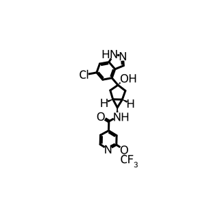 O=C(N[C@H]1[C@@H]2C[C@@](O)(c3cc(Cl)cc4[nH]ncc34)C[C@@H]21)c1ccnc(OC(F)(F)F)c1